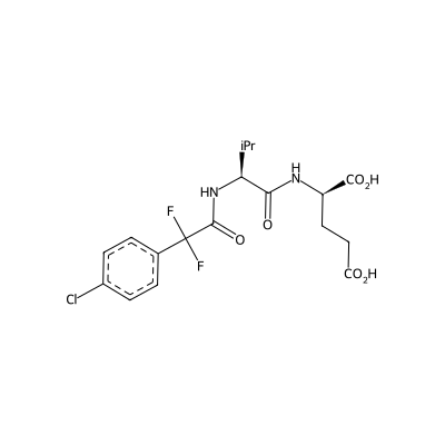 CC(C)[C@H](NC(=O)C(F)(F)c1ccc(Cl)cc1)C(=O)N[C@H](CCC(=O)O)C(=O)O